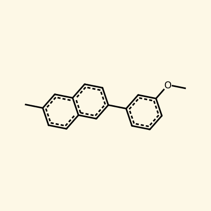 COc1cccc(-c2ccc3cc(C)ccc3c2)c1